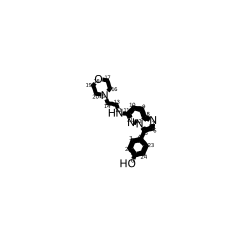 Oc1ccc(-c2cnc3ccc(NCCN4CCOCC4)nn23)cc1